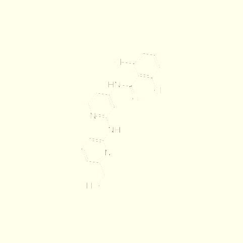 O=C(Nc1ccnc(Nc2cccc(CO)n2)c1)c1c(Cl)cccc1Cl